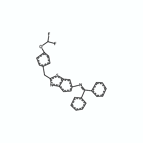 FC(F)Oc1ccc(Cc2nc3ccc(N=C(c4ccccc4)c4ccccc4)cc3s2)cc1